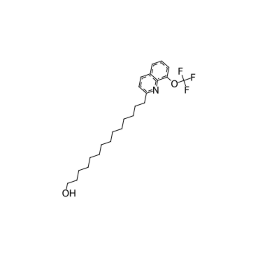 OCCCCCCCCCCCCCCc1ccc2cccc(OC(F)(F)F)c2n1